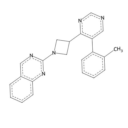 Cc1ccccc1-c1cncnc1C1CN(c2ncc3ccccc3n2)C1